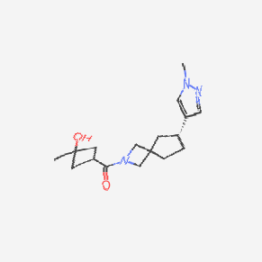 Cn1cc([C@@H]2CCC3(C2)CN(C(=O)C2CC(C)(O)C2)C3)cn1